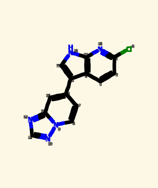 Clc1ccc2c(-c3ccn4ncnc4c3)c[nH]c2n1